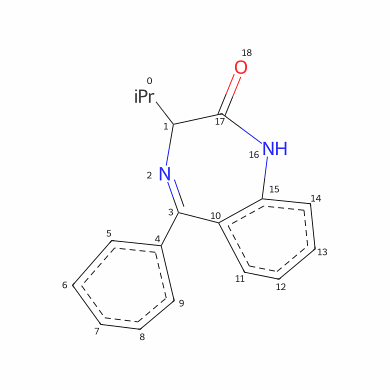 CC(C)C1N=C(c2ccccc2)c2ccccc2NC1=O